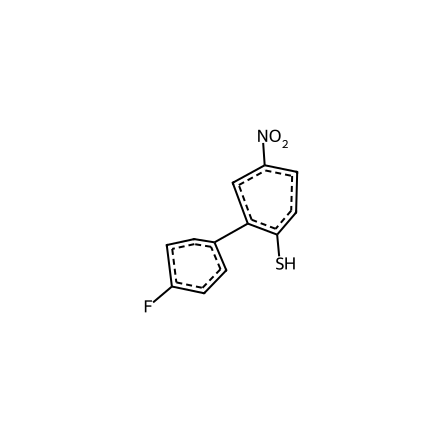 O=[N+]([O-])c1ccc(S)c(-c2ccc(F)cc2)c1